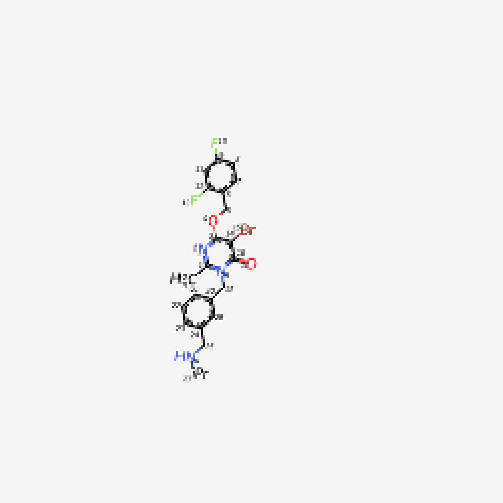 Cc1nc(OCc2ccc(F)cc2F)c(Br)c(=O)n1Cc1cccc(CNC(C)C)c1